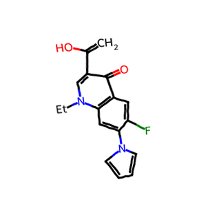 C=C(O)c1cn(CC)c2cc(-n3cccc3)c(F)cc2c1=O